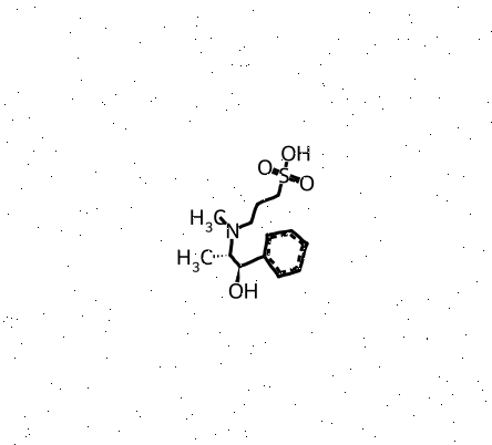 C[C@@H]([C@H](O)c1ccccc1)N(C)CCCS(=O)(=O)O